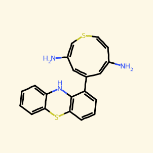 Nc1ccscc(N)cc(-c2cccc3c2Nc2ccccc2S3)c1